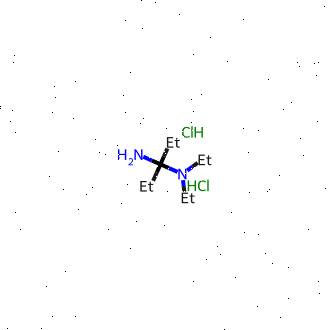 CCN(CC)C(N)(CC)CC.Cl.Cl